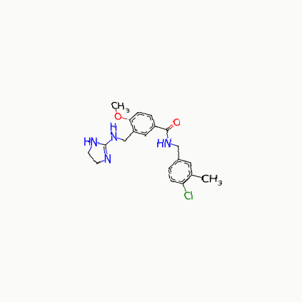 COc1ccc(C(=O)NCc2ccc(Cl)c(C)c2)cc1CNC1=NCCN1